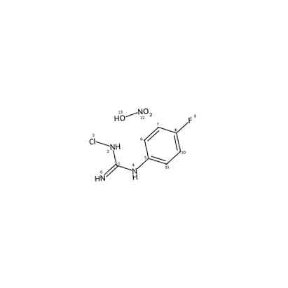 N=C(NCl)Nc1ccc(F)cc1.O=[N+]([O-])O